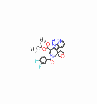 CC(C)OC(=O)C1=CN(C(=O)c2ccc(F)c(F)c2)CC2(CCOC2)c2c1[nH]c1ncccc21